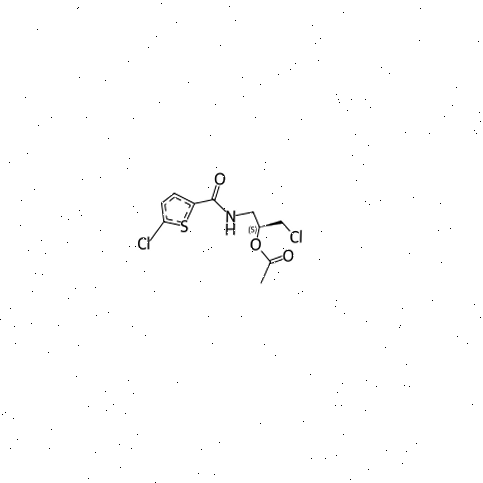 CC(=O)O[C@H](CCl)CNC(=O)c1ccc(Cl)s1